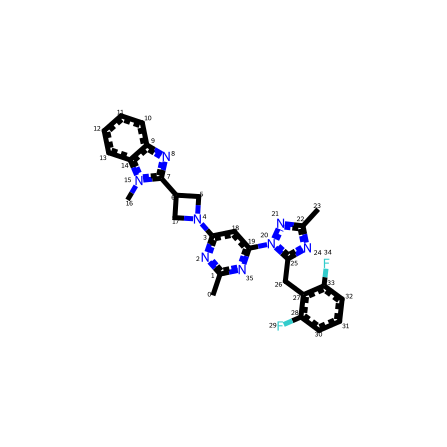 Cc1nc(N2CC(c3nc4ccccc4n3C)C2)cc(-n2nc(C)nc2Cc2c(F)cccc2F)n1